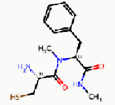 CNC(=O)[C@H](Cc1ccccc1)N(C)C(=O)[C@@H](N)CS